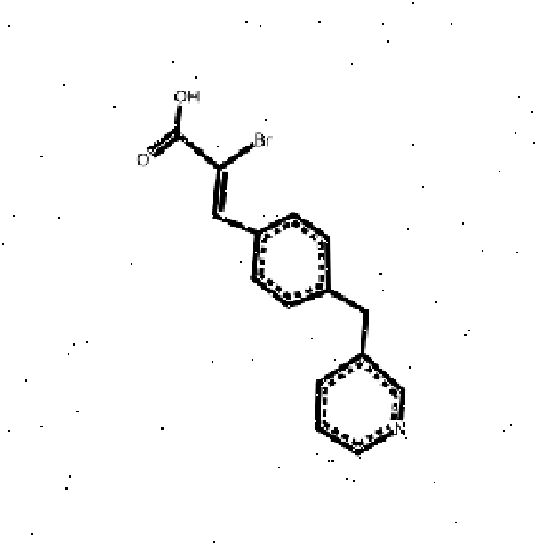 O=C(O)C(Br)=Cc1ccc(Cc2cccnc2)cc1